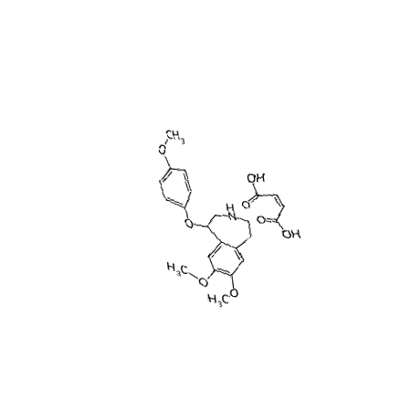 COc1ccc(OC2CNCCc3cc(OC)c(OC)cc32)cc1.O=C(O)/C=C\C(=O)O